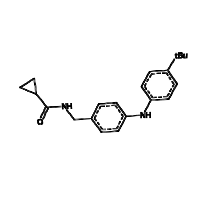 CC(C)(C)c1ccc(Nc2ccc(CNC(=O)C3CC3)cc2)cc1